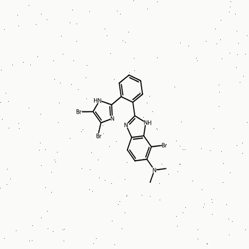 CN(C)c1ccc2nc(-c3ccccc3-c3nc(Br)c(Br)[nH]3)[nH]c2c1Br